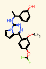 CC(Nc1nnc(-c2ccc(OC(F)F)cc2OC(F)(F)F)c2cccn12)c1cccc(O)c1